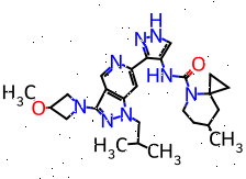 COC1CN(c2nn(CC(C)C)c3cc(-c4n[nH]cc4NC(=O)N4CCC(C)CC45CC5)ncc23)C1